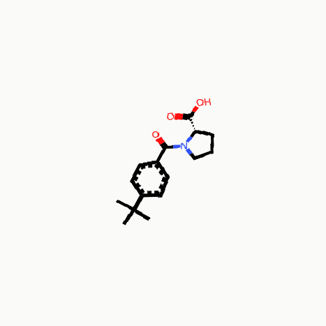 CC(C)(C)c1ccc(C(=O)N2CCC[C@H]2C(=O)O)cc1